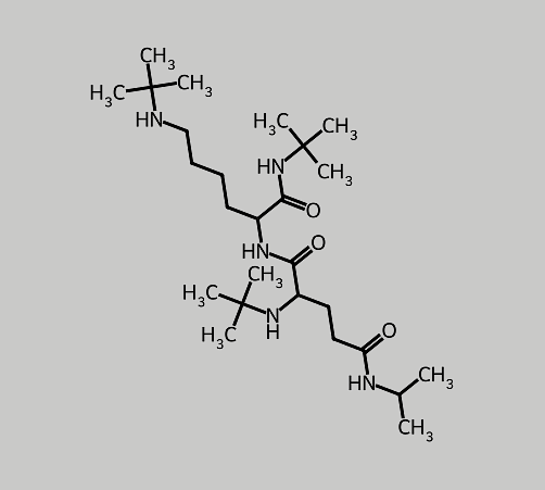 CC(C)NC(=O)CCC(NC(C)(C)C)C(=O)NC(CCCCNC(C)(C)C)C(=O)NC(C)(C)C